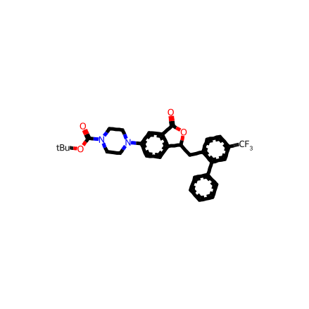 CC(C)(C)OC(=O)N1CCN(c2ccc3c(c2)C(=O)OC3Cc2ccc(C(F)(F)F)cc2-c2ccccc2)CC1